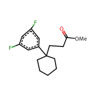 COC(=O)CCC1(c2cc(F)cc(F)c2)CCCCC1